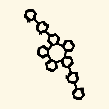 c1ccc(-c2cnc(-c3ccc4c5ccccc5c5ccc(-c6ncc(-c7ccccn7)cn6)cc5c5ccccc5c5ccccc5c4c3)nc2)nc1